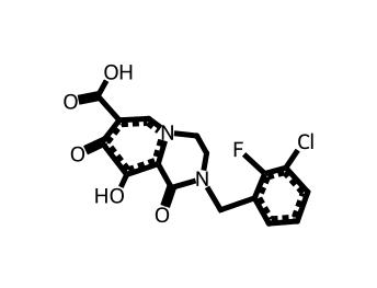 O=C(O)c1cn2c(c(O)c1=O)C(=O)N(Cc1cccc(Cl)c1F)CC2